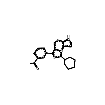 CC(=O)c1cccc(-c2nc(C3CCCCC3)n3c2cnc2[nH]ccc23)c1